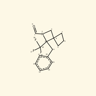 O=CN1CC2(CCC2)C1(Cc1ccccc1)C(F)(F)F